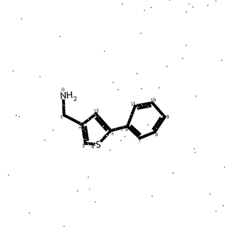 NCc1csc(-c2ccccc2)c1